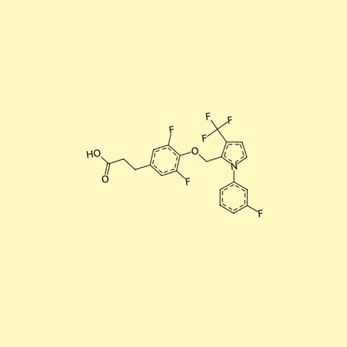 O=C(O)CCc1cc(F)c(OCc2c(C(F)(F)F)ccn2-c2cccc(F)c2)c(F)c1